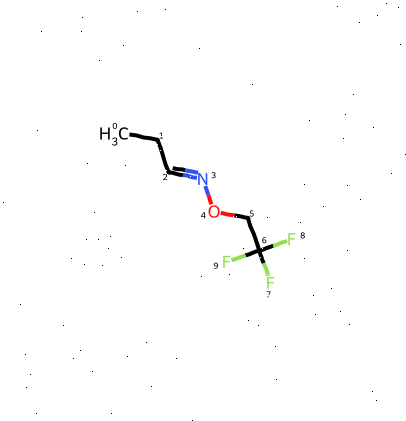 CCC=NOCC(F)(F)F